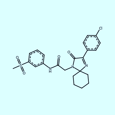 CS(=O)(=O)c1cccc(NC(=O)CN2C(=O)C(c3ccc(Cl)cc3)=NC23CCCCC3)c1